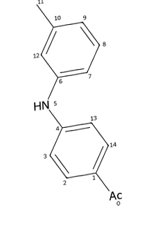 CC(=O)c1ccc(Nc2cccc(C)c2)cc1